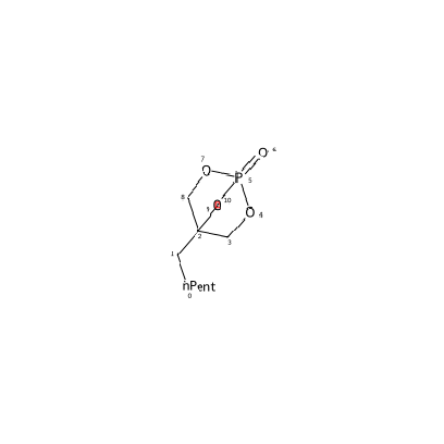 CCCCCCC12COP(=O)(OC1)OC2